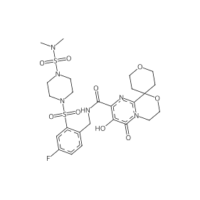 CN(C)S(=O)(=O)N1CCN(S(=O)(=O)c2cc(F)ccc2CNC(=O)c2nc3n(c(=O)c2O)CCOC32CCOCC2)CC1